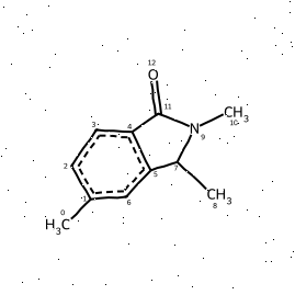 Cc1ccc2c(c1)C(C)N(C)C2=O